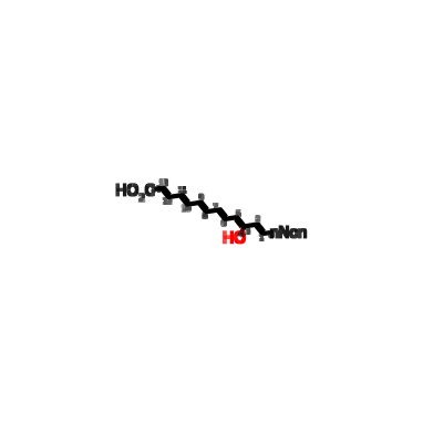 CCCCCCCCCC=CC(O)=CC=CC=CC=CC=CC(=O)O